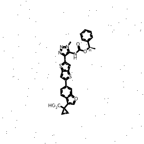 C[C@@H](OC(=O)Nc1c(-c2cc3sc(-c4ccc5c(C6(C(=O)O)CC6)coc5c4)cc3s2)nnn1C)c1ccccc1